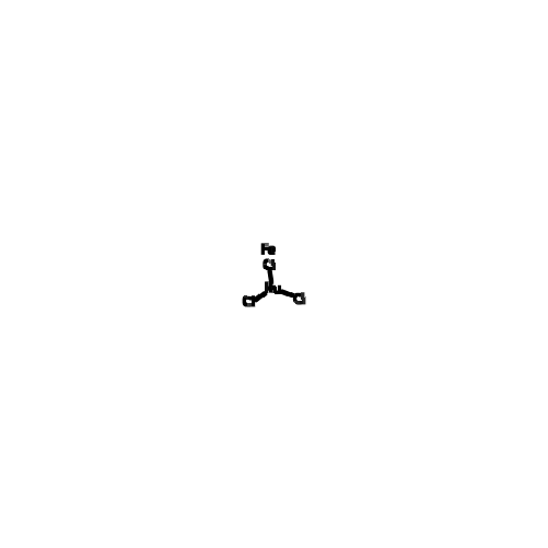 [Cl][Ru]([Cl])[Cl].[Fe]